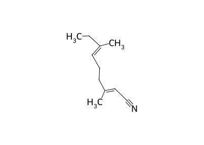 CCC(C)=CCCC(C)=CC#N